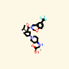 CC(C)[C@]1(C(=O)N2COc3ccc(C(F)(F)F)cc3C2)CC[C@@H](N2CCC(N[C@H](C)C(=O)O)CC2)C1